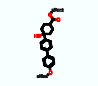 CCCCCCOc1ccc(-c2ccc(C3(O)CCC(C(=O)OCCCCC)CC3)cc2)cc1